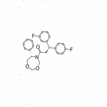 O=C(C[C@H](c1ccc(F)cc1)c1cccc(F)c1)N1COCOC[C@@H]1c1ccccc1